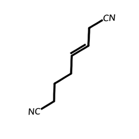 N#CC/C=C/CCCC#N